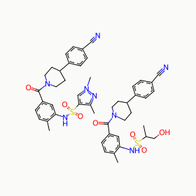 Cc1ccc(C(=O)N2CCC(c3ccc(C#N)cc3)CC2)cc1NS(=O)(=O)C(C)CO.Cc1ccc(C(=O)N2CCC(c3ccc(C#N)cc3)CC2)cc1NS(=O)(=O)c1cn(C)nc1C